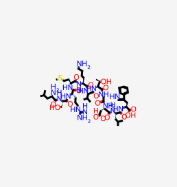 CSCC[C@H](NC(=O)[C@H](CCCNC(=N)N)NC(=O)[C@H](CO)NC(=O)[C@@H](N)CC(C)C)C(=O)N[C@@H](CCCCN)C(=O)N[C@H](C(=O)N[C@H](C(=O)NCC(=O)N[C@@H](CC(=O)O)C(=O)N[C@@H](CC(C)C)C(=O)N[C@@H](Cc1c[nH]c2ccccc12)C(=O)O)[C@@H](C)O)C(C)C